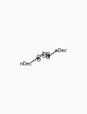 CCCCCCCCCCCCCCCC(=O)OCC[C](C)C(O)CCOC(=O)CCCCCCCCCCCCCCC